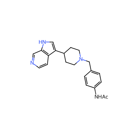 CC(=O)Nc1ccc(CN2CCC(c3c[nH]c4cnccc34)CC2)cc1